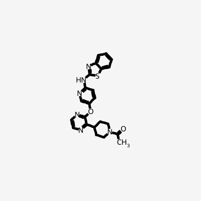 CC(=O)N1CCC(c2nccnc2Oc2ccc(Nc3nc4ccccc4s3)nc2)CC1